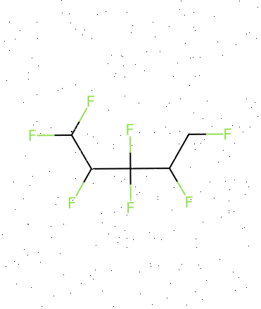 FCC(F)C(F)(F)C(F)[C](F)F